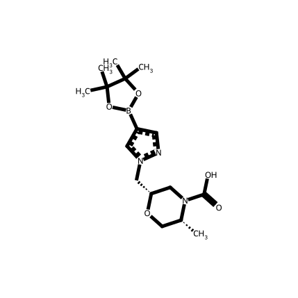 C[C@@H]1CO[C@H](Cn2cc(B3OC(C)(C)C(C)(C)O3)cn2)CN1C(=O)O